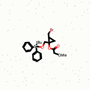 COCC(=O)OC1(CO[Si](c2ccccc2)(c2ccccc2)C(C)(C)C)CC1CBr